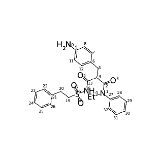 CCN(C(=O)C(Cc1ccc(N)cc1)C(=O)NS(=O)(=O)CCc1ccccc1)c1ccccc1